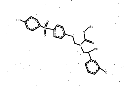 CC(C)(C)OC(=O)N(CCc1ccc(S(=O)(=O)c2ccc(O)cc2)cc1)CC(O)c1cccc(Cl)c1